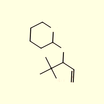 [CH]=CC(OC1CCCCO1)C(C)(C)CCCC